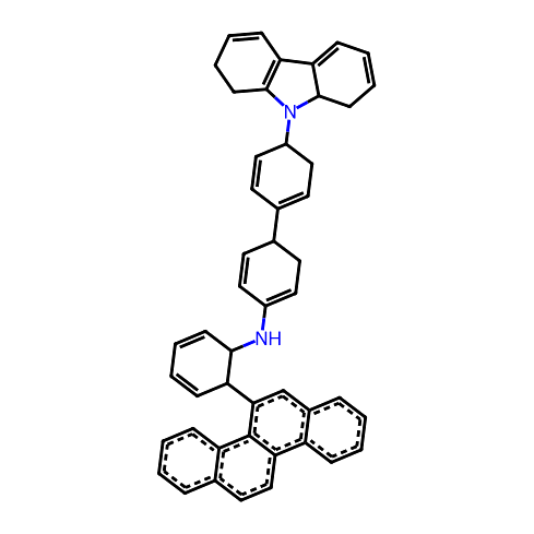 C1=CCC2C(=C1)C1=C(CCC=C1)N2C1C=CC(C2C=CC(NC3C=CC=CC3c3cc4ccccc4c4ccc5ccccc5c34)=CC2)=CC1